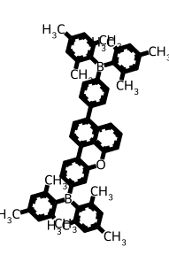 Cc1cc(C)c(B(c2ccc(-c3ccc4c5c(cccc35)Oc3cc(B(c5c(C)cc(C)cc5C)c5c(C)cc(C)cc5C)ccc3-4)cc2)c2c(C)cc(C)cc2C)c(C)c1